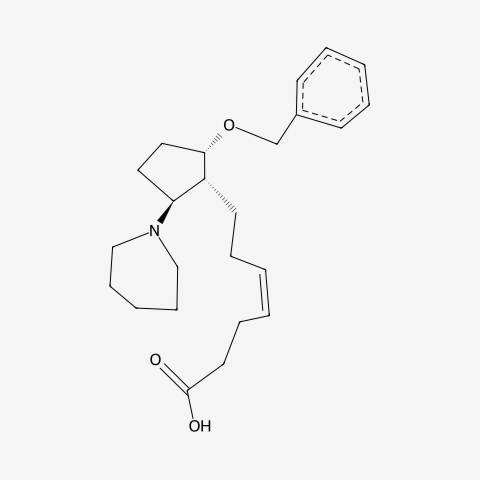 O=C(O)CC/C=C\CC[C@H]1[C@@H](OCc2ccccc2)CC[C@@H]1N1CCCCC1